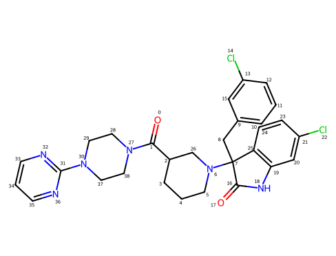 O=C(C1CCCN(C2(Cc3cccc(Cl)c3)C(=O)Nc3cc(Cl)ccc32)C1)N1CCN(c2ncccn2)CC1